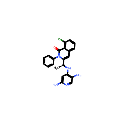 C[C@H](Nc1cc(N)ncc1N)c1cc2cccc(Cl)c2c(=O)n1-c1ccccc1